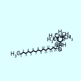 CCCCCCCCCCCCCCCCS(=O)(=O)NC1CC(C)(C)NC(C)(C)C1